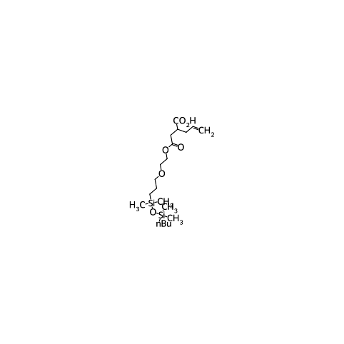 C=CCC(CC(=O)OCCOCCC[Si](C)(C)O[Si](C)(C)CCCC)C(=O)O